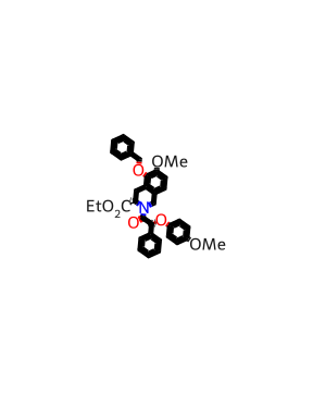 CCOC(=O)[C@@H]1Cc2c(ccc(OC)c2OCc2ccccc2)CN1C(=O)[C@@H](Oc1ccc(OC)cc1)c1ccccc1